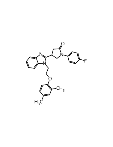 Cc1ccc(OCCn2c(C3CC(=O)N(c4ccc(F)cc4)C3)nc3ccccc32)c(C)c1